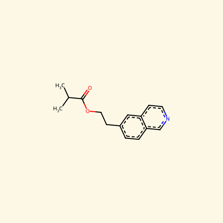 CC(C)C(=O)OCCc1ccc2cnccc2c1